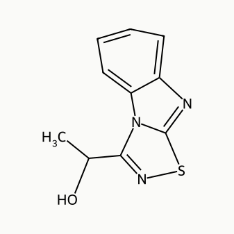 CC(O)c1nsc2nc3ccccc3n12